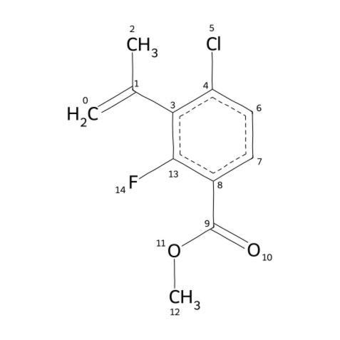 C=C(C)c1c(Cl)ccc(C(=O)OC)c1F